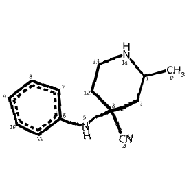 CC1CC(C#N)(Nc2ccccc2)CCN1